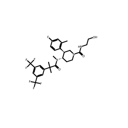 Cc1cc(F)ccc1[C@H]1CN(C(=O)NCCO)CC[C@@H]1N(C)C(=O)C(C)(C)c1cc(C(F)(F)F)cc(C(F)(F)F)c1